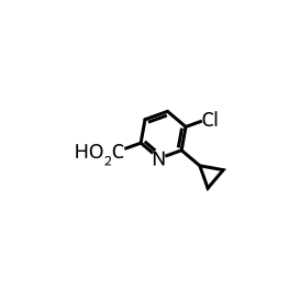 O=C(O)c1ccc(Cl)c(C2CC2)n1